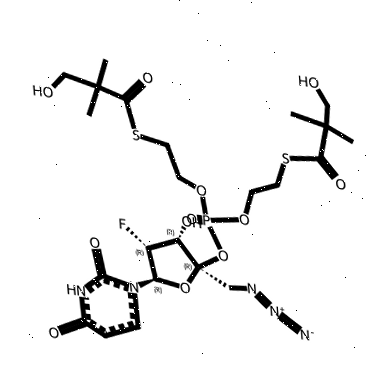 CC(C)(CO)C(=O)SCCOP(=O)(OCCSC(=O)C(C)(C)CO)O[C@@]1(CN=[N+]=[N-])O[C@@H](n2ccc(=O)[nH]c2=O)[C@H](F)[C@@H]1O